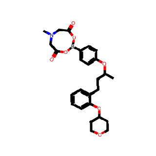 CC(CCc1ccccc1OC1CCOCC1)Oc1ccc(B2OC(=O)CN(C)CC(=O)O2)cc1